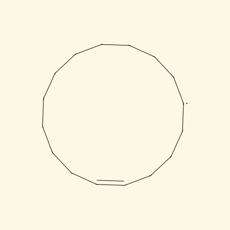 [CH]1CCCC=CCCCCCCCCCC1